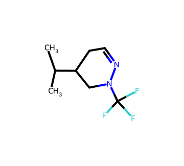 CC(C)C1CC=NN(C(F)(F)F)C1